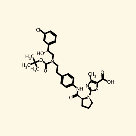 Cc1nc(N2CCC[C@H]2C(=O)Nc2ccc(CCN(C[C@H](O)c3cccc(Cl)c3)C(=O)OC(C)(C)C)cc2)sc1C(=O)O